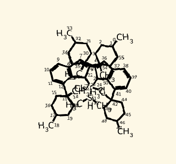 CC1CCC(C)(C2=Cc3cccc(C4(C)CCC(C)CC4)c3[CH]2[Zr]([Cl])([Cl])([CH]2C(C3(C)CCC(C)CC3)=Cc3cccc(C4(C)CCC(C)CC4)c32)[SiH](C)C)CC1